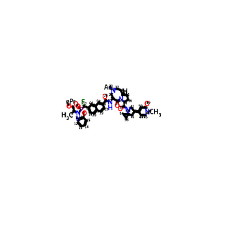 CCCOC(=O)[C@H](C)NP(=O)(Oc1ccccc1)C(F)c1ccc2ccc(C(=O)N[C@H]3CN(C(C)=O)CC[C@H]4CC[C@@H](C(=O)N5CC(c6ccn(C)c(=O)c6)CC56CC6)N4C3=O)cc2c1